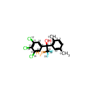 Cc1ccc(C)c(C(O)(c2cc(Cl)c(Cl)c(Cl)c2)C(F)(F)P)c1